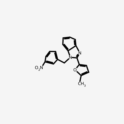 Cc1ccc(-c2nc3ccccc3n2Cc2cccc([N+](=O)[O-])c2)o1